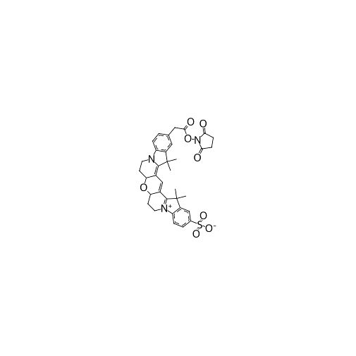 CC1(C)C2=C3C=C4C5=[N+](CCC4OC3CCN2c2ccc(CC(=O)ON3C(=O)CCC3=O)cc21)c1ccc(S(=O)(=O)[O-])cc1C5(C)C